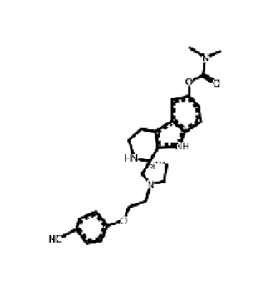 CN(C)C(=O)Oc1ccc2[nH]c3c(c2c1)CCN[C@@]31CCN(CCOc2ccc(C#N)cc2)C1